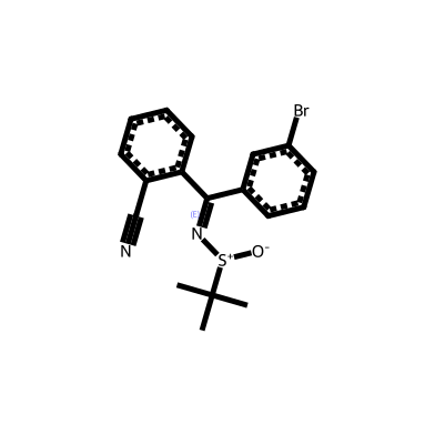 CC(C)(C)[S+]([O-])/N=C(\c1cccc(Br)c1)c1ccccc1C#N